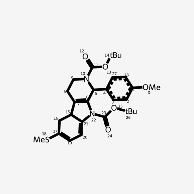 COc1ccc(C2C3=C(CCN2C(=O)OC(C)(C)C)C2CC(SC)=CC=C2N3C(=O)OC(C)(C)C)cc1